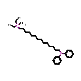 CC(C)C[PH](C)(CCCCCCCCCCCCCCP(c1ccccc1)c1ccccc1)CC(C)C